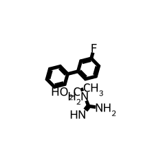 CC(=O)O.Fc1cccc(-c2ccccc2)c1.N=C(N)N